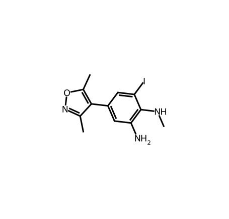 CNc1c(N)cc(-c2c(C)noc2C)cc1I